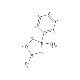 CCC1CC(C)(c2ccccc2)CO1